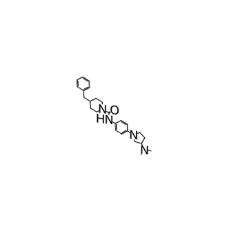 CN(C)C1CCN(c2ccc(NC(=O)N3CCC(Cc4ccccc4)CC3)cc2)C1